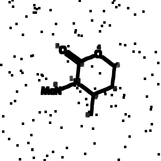 CNN1C(=O)OCCC1C